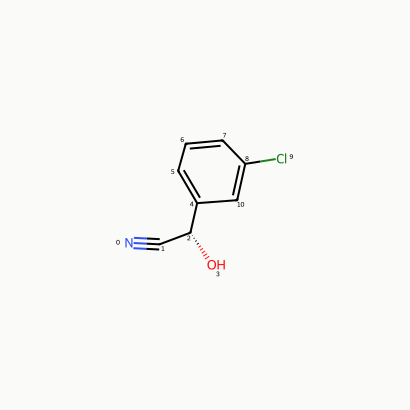 N#C[C@@H](O)c1cccc(Cl)c1